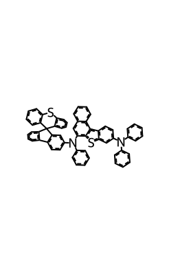 c1ccc(N(c2ccccc2)c2ccc3c(c2)sc2c(N(c4ccccc4)c4ccc5c(c4)C4(c6ccccc6Sc6ccccc64)c4ccccc4-5)cc4ccccc4c23)cc1